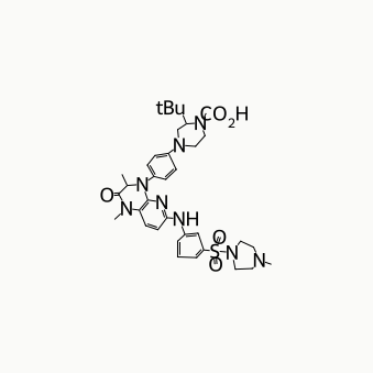 CC1C(=O)N(C)c2ccc(Nc3cccc(S(=O)(=O)N4CCN(C)CC4)c3)nc2N1c1ccc(N2CCN(C(=O)O)C(C(C)(C)C)C2)cc1